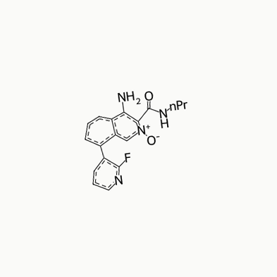 CCCNC(=O)c1c(N)c2cccc(-c3cccnc3F)c2c[n+]1[O-]